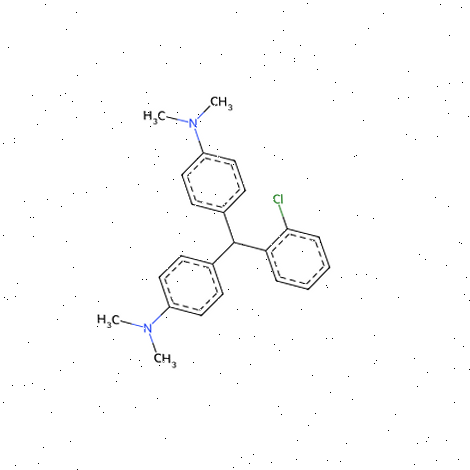 CN(C)c1ccc(C(c2ccc(N(C)C)cc2)c2ccccc2Cl)cc1